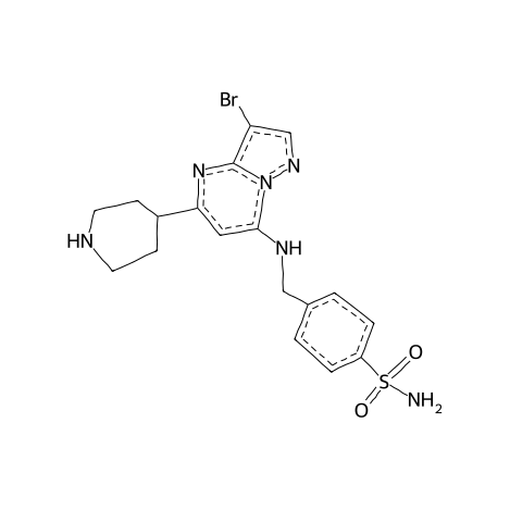 NS(=O)(=O)c1ccc(CNc2cc(C3CCNCC3)nc3c(Br)cnn23)cc1